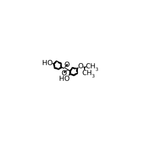 CC(C)Oc1ccc(O)c(S(=O)(=O)c2ccc(O)cc2)c1